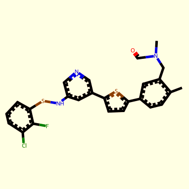 Cc1ccc(-c2ccc(-c3cncc(NSc4cccc(Cl)c4F)c3)s2)cc1CN(C)C=O